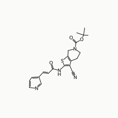 CC(C)(C)OC(=O)N1CCc2c(sc(NC(=O)C=Cc3cccnc3)c2C#N)C1